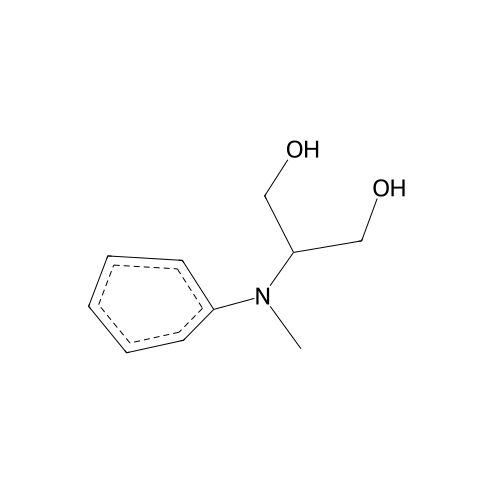 CN(c1ccccc1)C(CO)CO